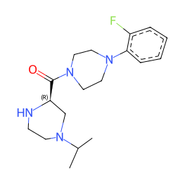 CC(C)N1CCN[C@@H](C(=O)N2CCN(c3ccccc3F)CC2)C1